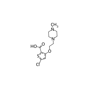 CN1CCN(CCOc2cc(Cl)sc2C(=O)O)CC1